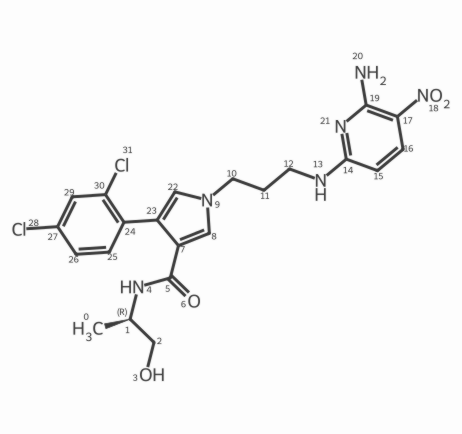 C[C@H](CO)NC(=O)c1cn(CCCNc2ccc([N+](=O)[O-])c(N)n2)cc1-c1ccc(Cl)cc1Cl